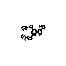 c1ccc(-c2cccc(-c3cc(-c4cccc(-c5ccccn5)c4)cc(-c4cccc(-c5ccccn5)c4)c3)c2)nc1